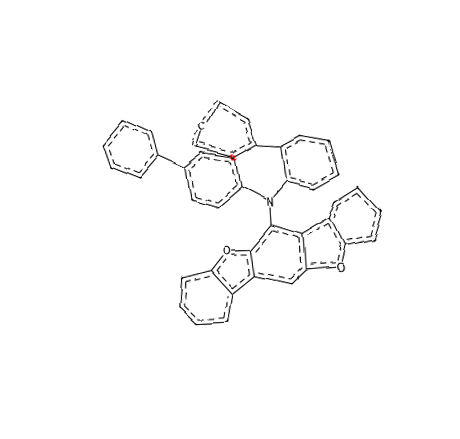 c1ccc(-c2ccc(N(c3ccccc3-c3ccccc3)c3c4oc5ccccc5c4cc4oc5ccccc5c34)cc2)cc1